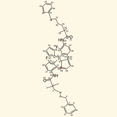 CC(C)(CCCCc1ccccc1)C(=O)Nc1ccc(F)[c]([Ti]([c]2c(F)ccc(NC(=O)C(C)(C)CCCCc3ccccc3)c2F)([CH]2C=CC=C2)[CH]2C=CC=C2)c1F